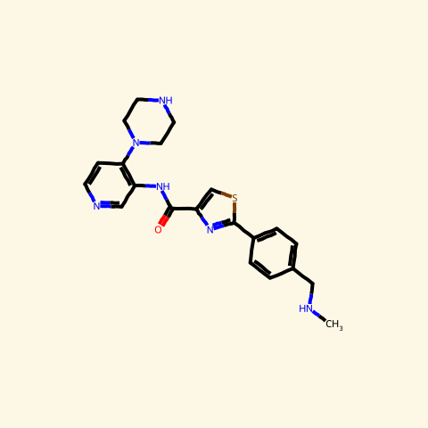 CNCc1ccc(-c2nc(C(=O)Nc3cnccc3N3CCNCC3)cs2)cc1